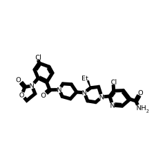 CC[C@H]1CN(c2ncc(C(N)=O)cc2Cl)CCN1C1CCN(C(=O)c2ccc(Cl)cc2N2CCOC2=O)CC1